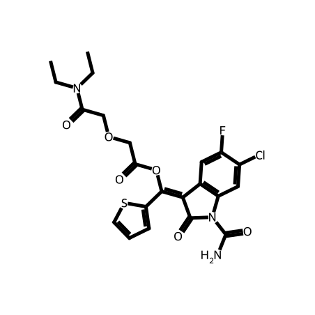 CCN(CC)C(=O)COCC(=O)OC(=C1C(=O)N(C(N)=O)c2cc(Cl)c(F)cc21)c1cccs1